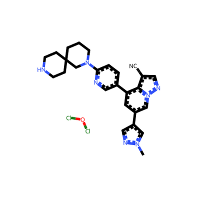 ClOCl.Cn1cc(-c2cc(-c3ccc(N4CCCC5(CCNCC5)C4)nc3)c3c(C#N)cnn3c2)cn1